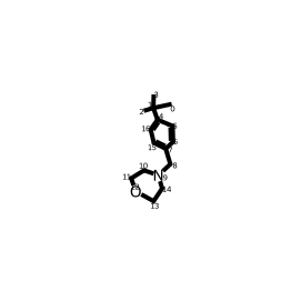 CC(C)(C)c1[c]cc(CN2CCOCC2)cc1